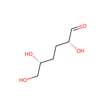 O=C[C@H](O)CC[C@@H](O)CO